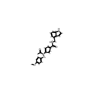 COc1ccc(ON(C(C)=O)c2ccc(C(=O)NCc3cccc4[nH]ccc34)cc2)cc1